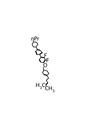 CCCC1CCC(c2ccc(-c3ccc(OCC4CC=C(CCC=C(C)C)CC4)c(F)c3F)cc2)CC1